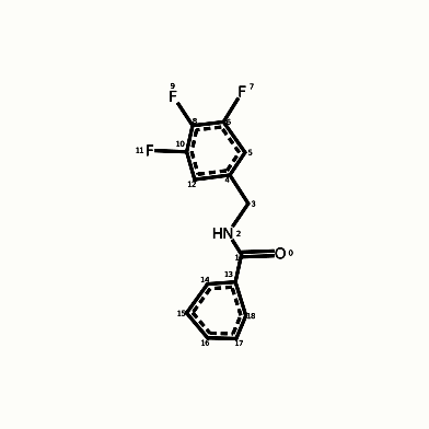 O=C(NCc1cc(F)c(F)c(F)c1)c1ccccc1